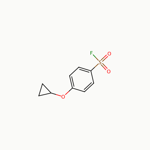 O=S(=O)(F)c1ccc(OC2CC2)cc1